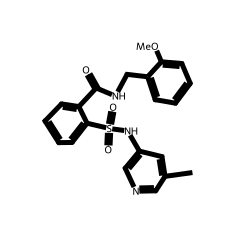 COc1ccccc1CNC(=O)c1ccccc1S(=O)(=O)Nc1cncc(C)c1